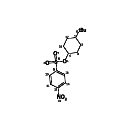 CC(C)(C)C1CCC(OS(=O)(=O)c2ccc([N+](=O)[O-])cc2)CC1